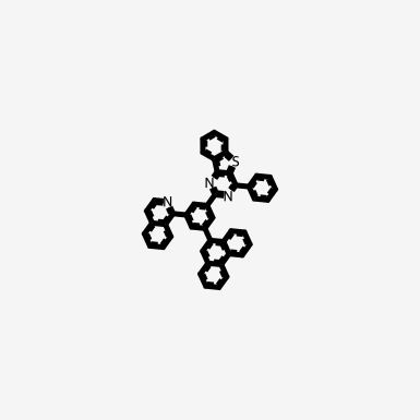 c1ccc(-c2nc(-c3cc(-c4nccc5ccccc45)cc(-c4cc5ccccc5c5ccccc45)c3)nc3c2sc2ccccc23)cc1